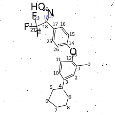 Cc1cc(C2CCCCC2)ccc1Oc1ccc(/C(=N/O)C(F)(F)F)cc1